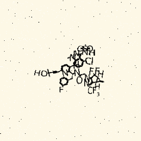 C=C1[C@@H]2c3c(C(F)(F)F)nn(CC(=O)N[C@@H](Cc4cccc(F)c4)c4nc(C#CC(C)(C)O)ccc4-c4ccc(Cl)c5c(NS(C)(=O)=O)nn(C)c45)c3C(F)(F)[C@H]12